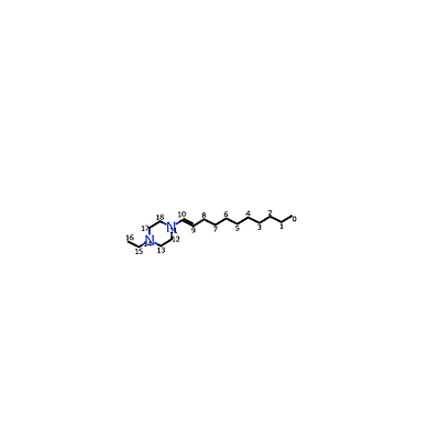 CCCCCCCCCC=CN1CCN(CC)CC1